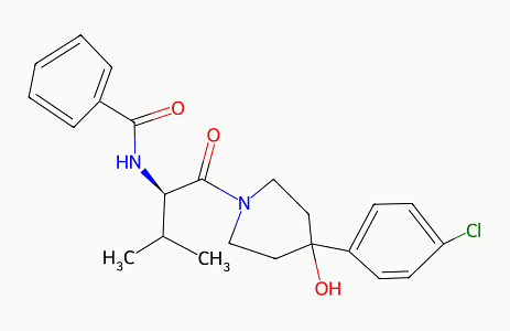 CC(C)[C@@H](NC(=O)c1ccccc1)C(=O)N1CCC(O)(c2ccc(Cl)cc2)CC1